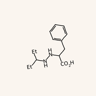 CCC(CC)NNC(Cc1ccccc1)C(=O)O